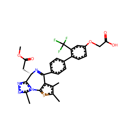 COC(=O)C[C@@H]1N=C(c2ccc(-c3ccc(OCC(=O)O)cc3C(F)(F)F)cc2)c2c(sc(C)c2C)-n2c(C)nnc21